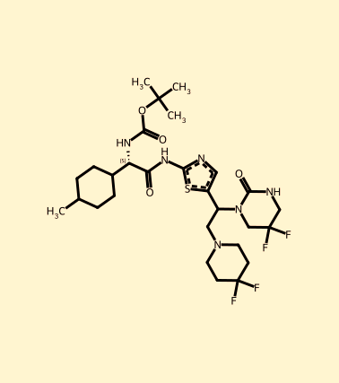 CC1CCC([C@H](NC(=O)OC(C)(C)C)C(=O)Nc2ncc(C(CN3CCC(F)(F)CC3)N3CC(F)(F)CNC3=O)s2)CC1